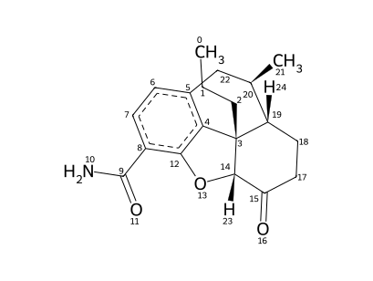 CCC[C@]12c3c4ccc(C(N)=O)c3O[C@H]1C(=O)CC[C@H]2[C@H](C)C4